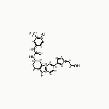 O=C(Nc1ccc(Cl)c(C(F)(F)F)c1)NC1CCc2[nH]c3ccc(-c4cnn(CCO)c4)cc3c2C1